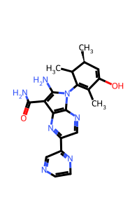 CC1=C(n2c(N)c(C(N)=O)c3nc(-c4cnccn4)cnc32)C(C)[C@@H](C)C=C1O